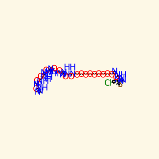 Cc1sc2c(c1C)C(c1ccc(Cl)cc1)=N[C@@H](CC(=O)Nc1cncc(OCCOCCOCCOCCOCCOCCOCCOCCOCCNC(=O)CCNC(=O)c3nc(NC(=O)CCNC(=O)c4cc(NC(=O)c5nc(NC(=O)CCNC(=O)c6nc(NC(=O)c7nccn7C)cn6C)cn5C)cn4C)cn3C)c1)c1nnc(C)n1-2